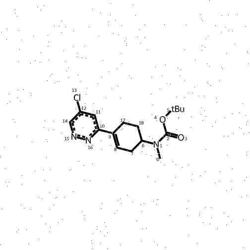 CN(C(=O)OC(C)(C)C)C1CC=C(c2cc(Cl)cnn2)CC1